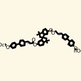 CCCCCCCCOc1ccc(-c2ccc(/C=C/COOc3ccc4c(c3)C3(CC4(C)C)CC(C)(C)c4ccc(OC(=O)/C=C/c5ccc(-c6ccc(OCCCCCCCC)cc6)cc5)cc43)cc2)cc1